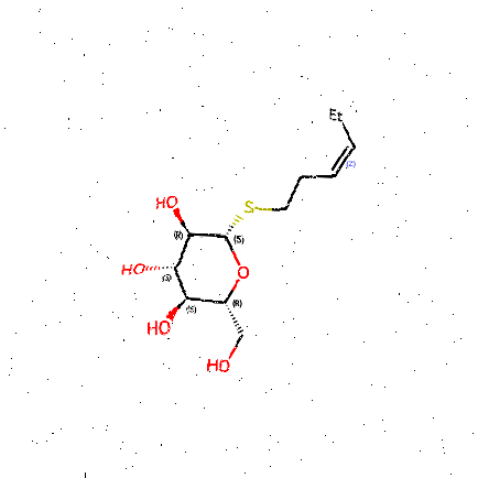 CC/C=C\CCS[C@@H]1O[C@H](CO)[C@@H](O)[C@H](O)[C@H]1O